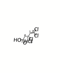 Cl.O=C(O)CC(Cl)C=C(Cl)Cl